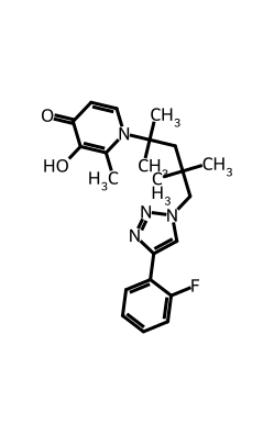 Cc1c(O)c(=O)ccn1C(C)(C)CC(C)(C)Cn1cc(-c2ccccc2F)nn1